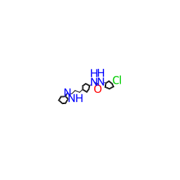 O=C(Nc1ccc(CCc2nc3ccccc3[nH]2)cc1)Nc1cccc(Cl)c1